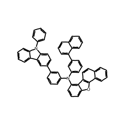 c1ccc(-n2c3ccccc3c3cc(-c4cccc(N(c5cccc(-c6cccc7ccccc67)c5)c5cccc6oc7c8ccccc8ccc7c56)c4)ccc32)cc1